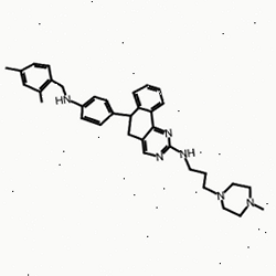 Cc1ccc(CNc2ccc(C3Cc4cnc(NCCCN5CCN(C)CC5)nc4-c4ccccc43)cc2)c(C)c1